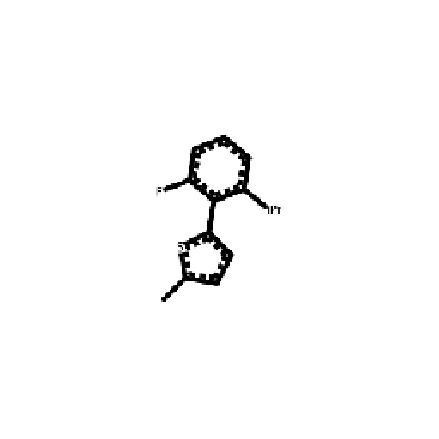 Cc1ccc(-c2c(C(C)C)[c]ccc2F)s1